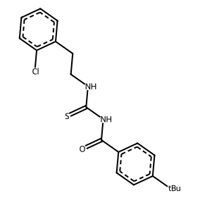 CC(C)(C)c1ccc(C(=O)NC(=S)NCCc2ccccc2Cl)cc1